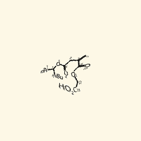 C=C(CC(=O)OC(CCC)CCCC)C(=O)OCC(=O)O